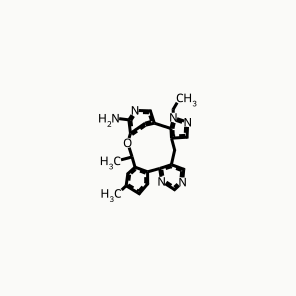 CCn1ncc2c1-c1cnc(N)c(c1)OC(C)c1cc(C)ccc1-c1ncncc1C2